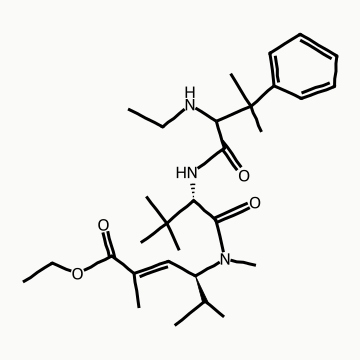 CCNC(C(=O)N[C@H](C(=O)N(C)[C@H](/C=C(\C)C(=O)OCC)C(C)C)C(C)(C)C)C(C)(C)c1ccccc1